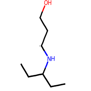 CCC(CC)N[CH]CCO